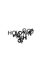 Cc1cccc(N[C@H]2c3cc(C(=O)NCCN(C)C(=O)OC(C)(C)C)ccc3N(C(C)O)[C@@H](C3CC3)[C@@H]2C)n1